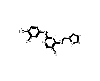 Oc1ccc(Nc2ncc(Br)c(NCC3CCCO3)n2)cc1Cl